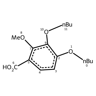 CCCCOc1ccc(C(=O)O)c(OC)c1OCCCC